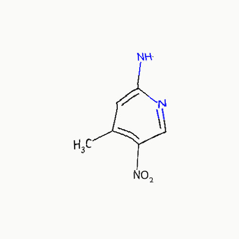 Cc1cc([NH])ncc1[N+](=O)[O-]